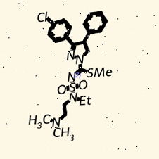 CCN(CCN(C)C)S(=O)(=O)/N=C(\SC)N1CC(c2ccccc2)C(c2ccc(Cl)cc2)=N1